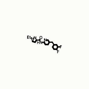 CCn1ccc(C(=O)Nc2ccc(Cc3ccc(F)c(F)c3)cn2)n1